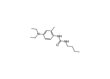 CCCCNC(=O)Nc1ccc(N(CC)CC)cc1C